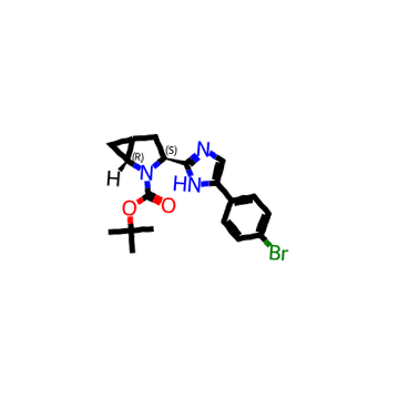 CC(C)(C)OC(=O)N1[C@@H]2CC2C[C@H]1c1ncc(-c2ccc(Br)cc2)[nH]1